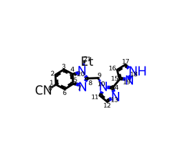 [C-]#[N+]c1ccc2c(c1)nc(Cn1ccnc1-c1cc[nH]n1)n2CC